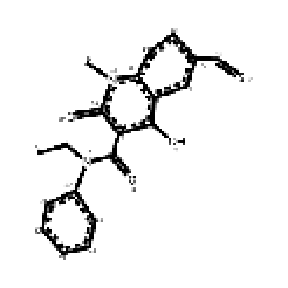 CCN(C(=O)c1c(O)c2cc(C=S)ccc2n(C)c1=O)c1ccccc1